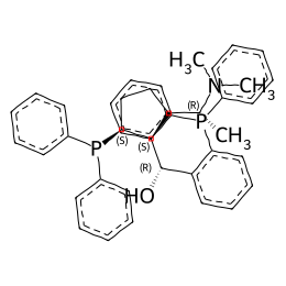 C[C@H](C1CC[C@H](P(c2ccccc2)c2ccccc2)[C@@H]1[C@@H](O)c1ccccc1P(c1ccccc1)c1ccccc1)N(C)C